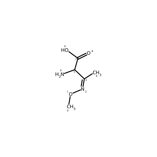 CON=C(C)C(N)C(=O)O